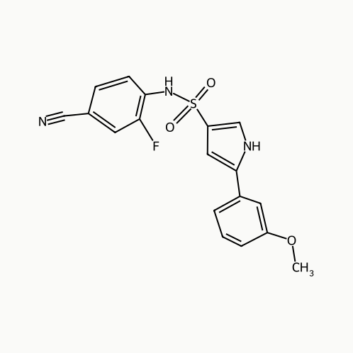 COc1cccc(-c2cc(S(=O)(=O)Nc3ccc(C#N)cc3F)c[nH]2)c1